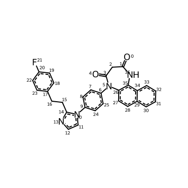 O=C1CC(=O)N(c2ccc(-n3ccnc3CCc3ccc(F)cc3)cc2)c2ccc3ccccc3c2N1